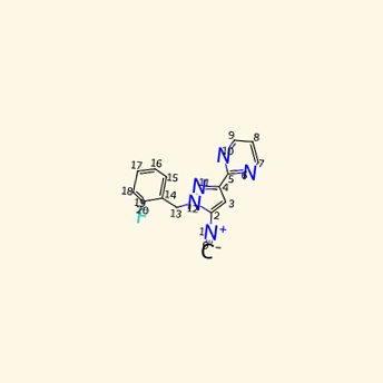 [C-]#[N+]c1cc(-c2ncccn2)nn1Cc1ccccc1F